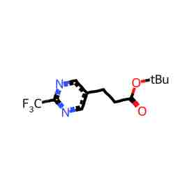 CC(C)(C)OC(=O)CCc1cnc(C(F)(F)F)nc1